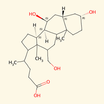 CC(CCC(=O)O)C1CC[C@H]2[C@@H]3C(CC(CO)C12C)C1(C)CC[C@@H](O)C[C@H]1C[C@@H]3O